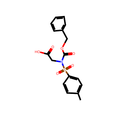 Cc1ccc(S(=O)(=O)N(CC(=O)O)C(=O)OCc2ccccc2)cc1